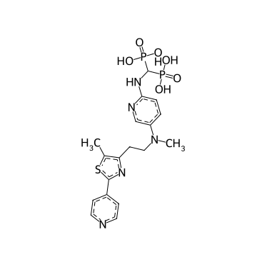 Cc1sc(-c2ccncc2)nc1CCN(C)c1ccc(NC(P(=O)(O)O)P(=O)(O)O)nc1